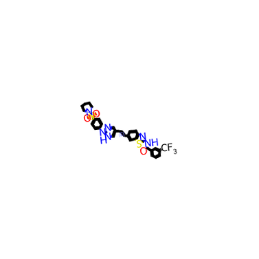 O=C(Nc1nc2ccc(/C=C/c3cnc(Nc4ccc(S(=O)(=O)N5CCCCC5)cc4)nc3)cc2s1)c1cccc(C(F)(F)F)c1